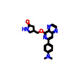 CN(C)c1ccc(-c2cc3nccnc3c(OCC3CNC(=O)C3)n2)cc1